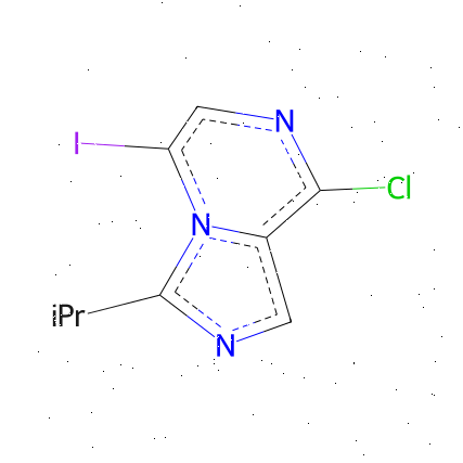 CC(C)c1ncc2c(Cl)ncc(I)n12